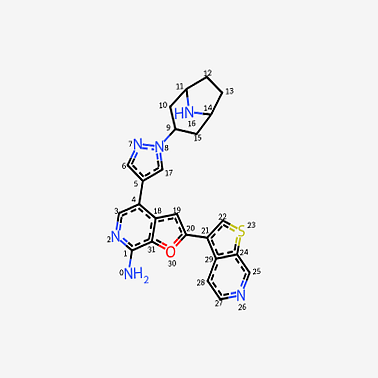 Nc1ncc(-c2cnn(C3CC4CCC(C3)N4)c2)c2cc(-c3csc4cnccc34)oc12